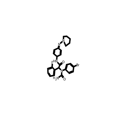 NC(=O)N(c1ccc(Br)cc1)C(C(=O)NC1C=CC(=NN2CCCCC2)C=C1)c1ccccc1F